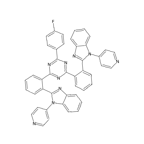 Fc1ccc(-c2nc(-c3ccccc3-c3nc4ccccc4n3-c3ccncc3)nc(-c3ccccc3-c3nc4ccccc4n3-c3ccncc3)n2)cc1